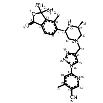 BC1(B)OC(=O)c2ccc([C@@H]3CN(Cc4cn(-c5cc(C)c(C#N)cn5)nn4)C[C@H](C)N3)c(C)c21